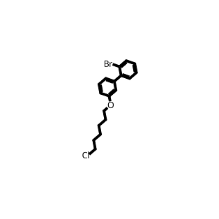 ClCCCCCCOc1cccc(-c2ccccc2Br)c1